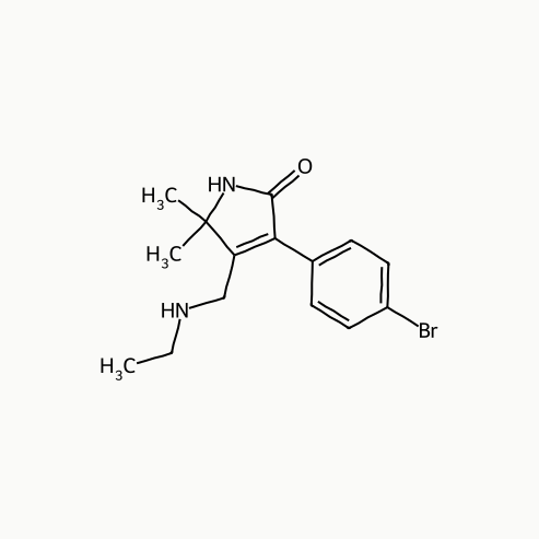 CCNCC1=C(c2ccc(Br)cc2)C(=O)NC1(C)C